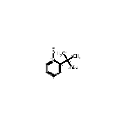 CC[CH]CC(C)(C)c1cccc[n+]1[O-]